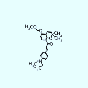 CCN(CC)c1ccc(/C=C/C(=O)c2ccc(OCOC)c3c2OC(C)(C)C=C3)cc1